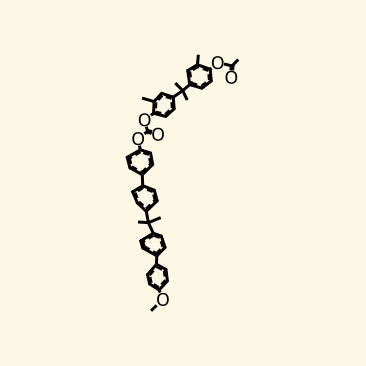 COc1ccc(-c2ccc(C(C)(C)c3ccc(-c4ccc(OC(=O)Oc5ccc(C(C)(C)c6ccc(OC(C)=O)c(C)c6)cc5C)cc4)cc3)cc2)cc1